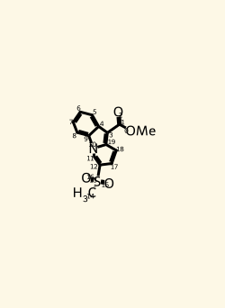 COC(=O)c1c2ccccc2n2cc(S(C)(=O)=O)ccc12